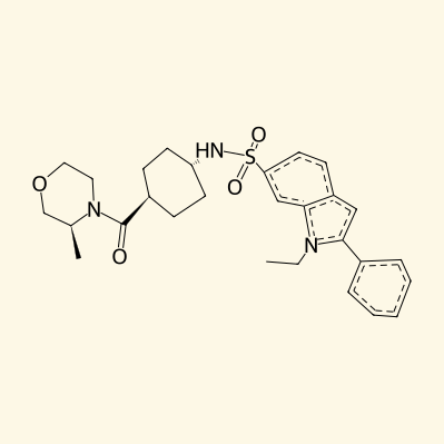 CCn1c(-c2ccccc2)cc2ccc(S(=O)(=O)N[C@H]3CC[C@H](C(=O)N4CCOC[C@@H]4C)CC3)cc21